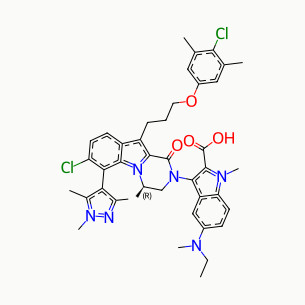 CCN(C)c1ccc2c(c1)c(N1C[C@@H](C)n3c(c(CCCOc4cc(C)c(Cl)c(C)c4)c4ccc(Cl)c(-c5c(C)nn(C)c5C)c43)C1=O)c(C(=O)O)n2C